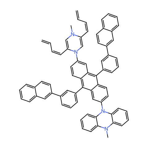 C=C/C=C\C1=CN(c2ccc3c(-c4cccc(-c5ccc6ccccc6c5)c4)c4cc(N5c6ccccc6N(C)c6ccccc65)ccc4c(-c4cccc(-c5ccc6ccccc6c5)c4)c3c2)C(/C=C\C=C)=CN1C